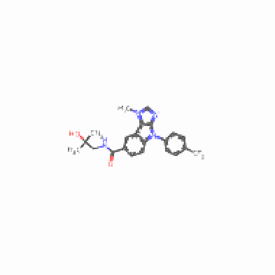 Cn1cnc2c1c1cc(C(=O)NCC(C)(C)O)ccc1n2-c1ccc(C(F)(F)F)cc1